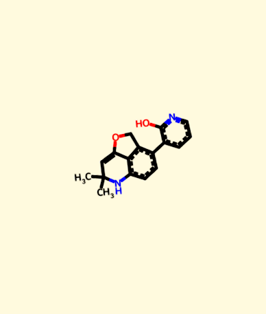 CC1(C)C=C2OCc3c(-c4cccnc4O)ccc(c32)N1